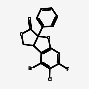 O=C1OCC2c3c(cc(F)c(Cl)c3Br)OC12c1ccccc1